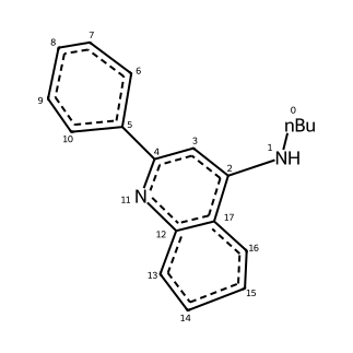 CCCCNc1cc(-c2ccccc2)nc2ccccc12